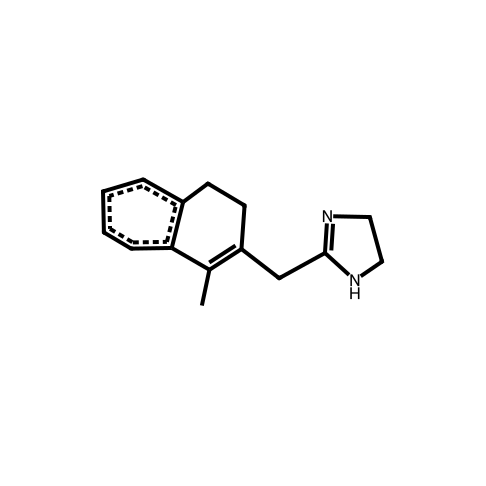 CC1=C(CC2=NCCN2)CCc2ccccc21